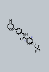 C=C(/C=C\C(=C/N)C(=O)Nc1ccc([C@@H]2CNCCO2)cc1)OCC(F)(F)F